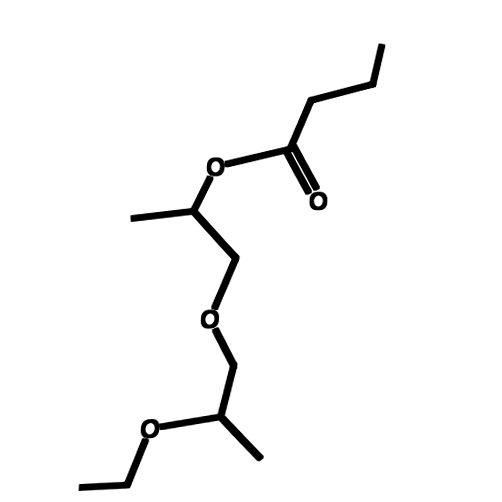 CCCC(=O)OC(C)COCC(C)OCC